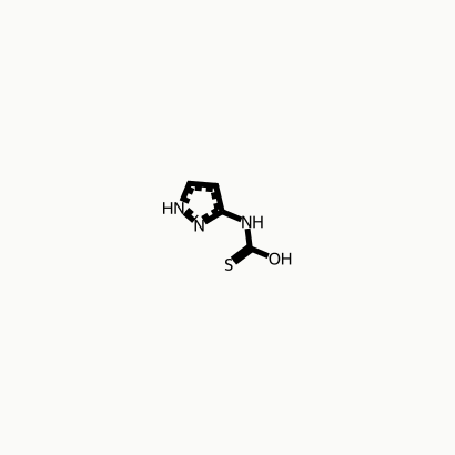 OC(=S)Nc1cc[nH]n1